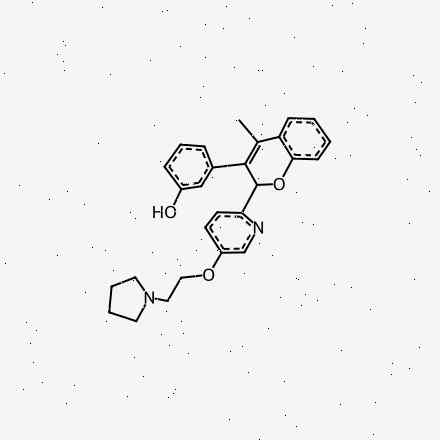 CC1=C(c2cccc(O)c2)C(c2ccc(OCCN3CCCC3)cn2)Oc2ccccc21